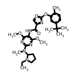 CCN1CCCC1N(C)c1nc(OC)c(NC(=O)c2coc(Oc3cc(C(C)(C)C)ccc3C)n2)c(OC)n1